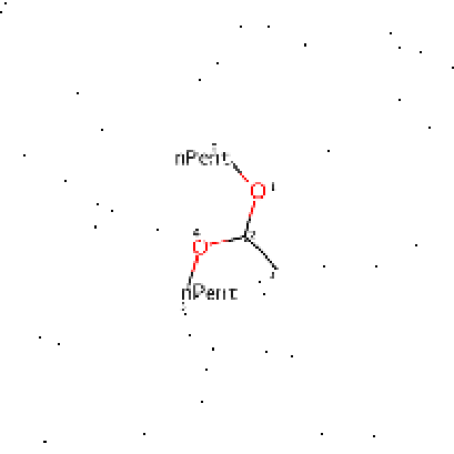 CCCCCO[C](C)OCCCCC